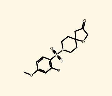 COc1ccc(S(=O)(=O)N2CCC3(CC2)CC(=O)CO3)c(F)c1